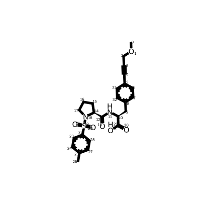 COCC#Cc1ccc(C[C@H](NC(=O)[C@@H]2CCCN2S(=O)(=O)c2ccc(C)cc2)C(=O)O)cc1